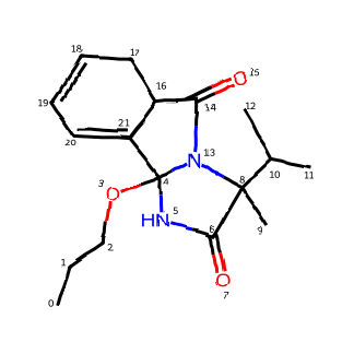 CCCOC12NC(=O)C(C)(C(C)C)N1C(=O)C1CC=CC=C12